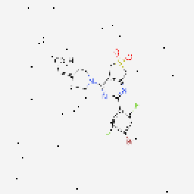 O=C(O)C=C1CCN(c2nc(-c3cc(F)c(Br)cc3F)nc3c2CS(=O)(=O)C3)CC1